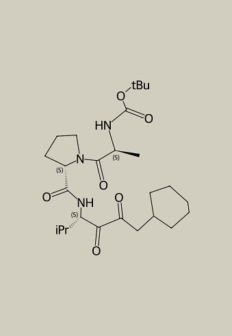 CC(C)[C@H](NC(=O)[C@@H]1CCCN1C(=O)[C@H](C)NC(=O)OC(C)(C)C)C(=O)C(=O)CC1CCCCC1